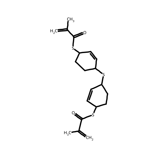 C=C(C)C(=O)SC1C=CC(SC2C=CC(SC(=O)C(=C)C)CC2)CC1